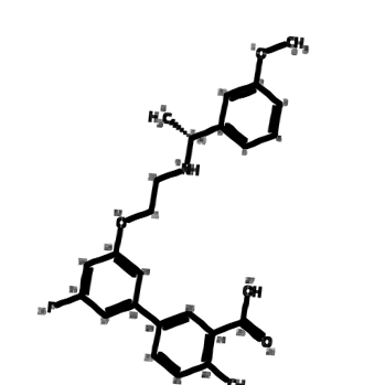 COc1cccc([C@@H](C)NCCOc2cc(F)cc(-c3ccc(C)c(C(=O)O)c3)c2)c1